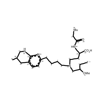 COC(CF)CN(CCCCc1ccc2c(n1)NCC(C)C2)CCC(NC(=O)CC(C)(C)C)C(=O)O